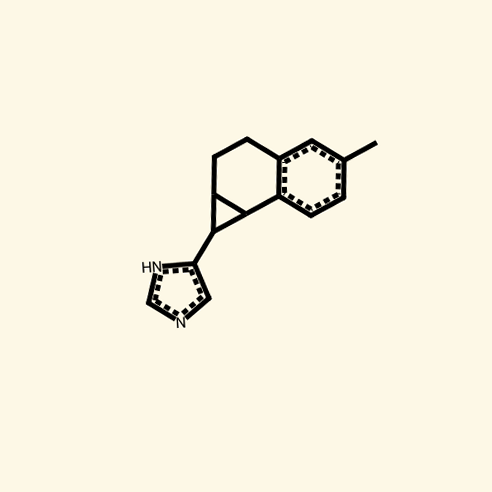 Cc1ccc2c(c1)CCC1C(c3cnc[nH]3)C21